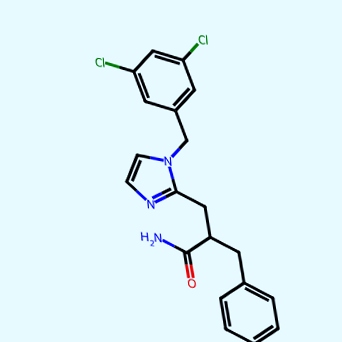 NC(=O)C(Cc1ccccc1)Cc1nccn1Cc1cc(Cl)cc(Cl)c1